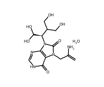 C=C(N)Cn1c(=O)n([C@@H](C(O)O)C(CO)CO)c2nc[nH]c(=O)c21.O